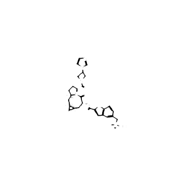 O=C(N[C@H]1C[C@H]2C[C@H]2C[C@H]2CC[C@@H](C(=O)N3CC(n4ccnc4)C3)N2C1=O)c1cc2cc(CP(=O)(O)O)ccc2s1